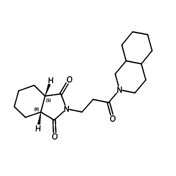 O=C(CCN1C(=O)[C@H]2CCCC[C@H]2C1=O)N1CCC2CCCCC2C1